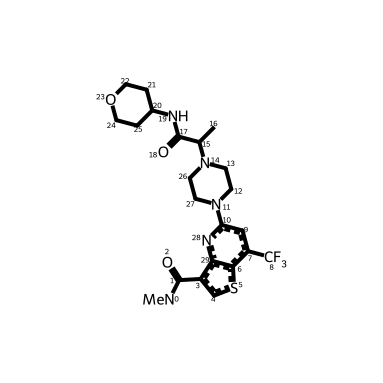 CNC(=O)c1csc2c(C(F)(F)F)cc(N3CCN(C(C)C(=O)NC4CCOCC4)CC3)nc12